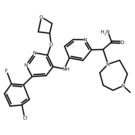 CN1CCCN(C(C(N)=O)c2cc(Nc3cc(-c4cc(Cl)ccc4F)nnc3OC3COC3)ccn2)CC1